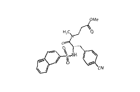 COC(=O)CCN(C)C(=O)[C@H](Cc1ccc(C#N)cc1)NS(=O)(=O)c1ccc2ccccc2c1